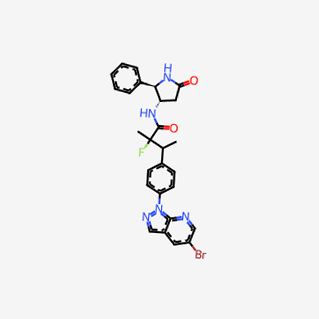 CC(c1ccc(-n2ncc3cc(Br)cnc32)cc1)C(C)(F)C(=O)N[C@H]1CC(=O)N[C@@H]1c1ccccc1